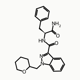 NC(=O)[C@H](Cc1ccccc1)NC(=O)c1nn(CC2CCCCO2)c2ccccc12